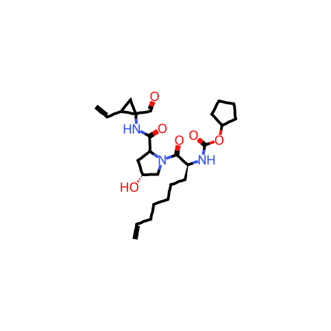 C=CCCCCC[C@H](NC(=O)OC1CCCC1)C(=O)N1C[C@H](O)CC1C(=O)NC1(C=O)CC1C=C